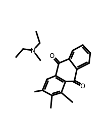 CCN(C)CC.Cc1cc2c(c(C)c1C)C(=O)c1ccccc1C2=O